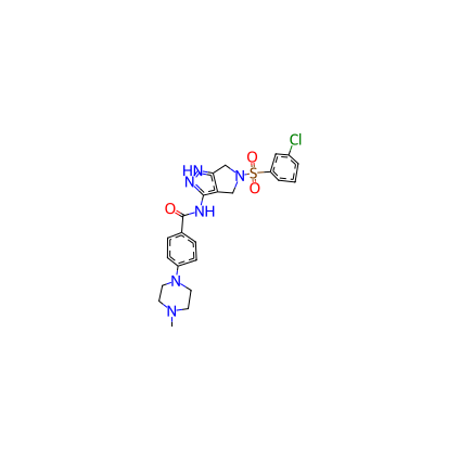 CN1CCN(c2ccc(C(=O)Nc3n[nH]c4c3CN(S(=O)(=O)c3cccc(Cl)c3)C4)cc2)CC1